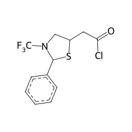 O=C(Cl)CC1CN(C(F)(F)F)C(c2ccccc2)S1